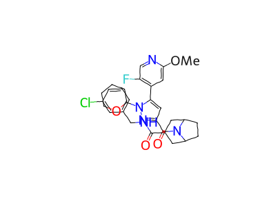 COc1cc(-c2cc(C(=O)N3C4CCC3CC(C(=O)NCc3cccc(Cl)c3)C4)nn2C2CCCCO2)c(F)cn1